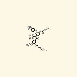 CCOC(=O)CC1CCC(N(C(=O)c2ccc(OC)c(OCCCOC)c2)C(C)C)CN1Cc1ccc(OC)cc1